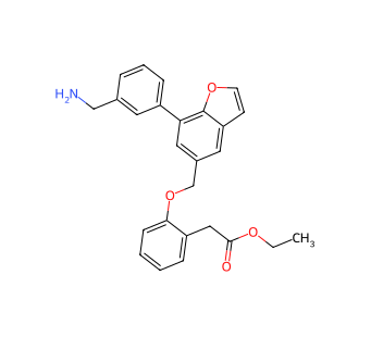 CCOC(=O)Cc1ccccc1OCc1cc(-c2cccc(CN)c2)c2occc2c1